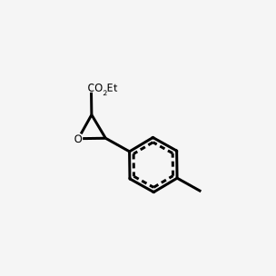 CCOC(=O)C1OC1c1ccc(C)cc1